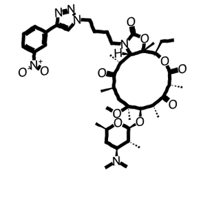 CC[C@H]1OC(=O)[C@H](C)C(=O)[C@H](C)[C@@H](O[C@@H]2O[C@H](C)C[C@H](N(C)C)[C@H]2C)[C@@](C)(OC)C[C@@H](C)C(=O)[C@H](C)[C@@H]2N(CCCCn3cc(-c4cccc([N+](=O)[O-])c4)nn3)C(=O)O[C@@]21C